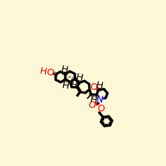 CC1=C2C[C@H]3[C@@H](CC[C@@H]4C[C@H](O)CC[C@@]43C)[C@@H]2CCC2(C1)O[C@@H]1CCCN(C(=O)OCc3ccccc3)[C@H]1[C@H]2C